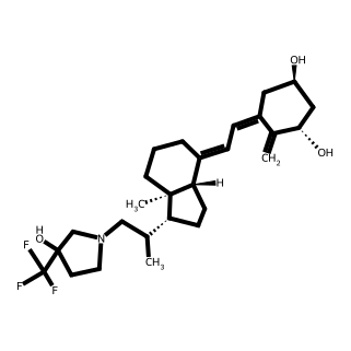 C=C1/C(=C\C=C2/CCC[C@]3(C)[C@@H](C(C)CN4CCC(O)(C(F)(F)F)C4)CC[C@@H]23)C[C@@H](O)C[C@@H]1O